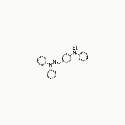 CCN(c1ccccc1)c1ccc(C=NN(c2ccccc2)c2ccccc2)cc1